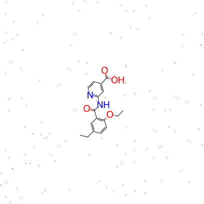 CCOc1ccc(CC)cc1C(=O)Nc1cc(C(=O)O)ccn1